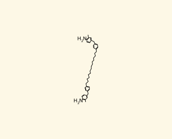 Cc1cc(Cc2ccc(CCCCCCCCCCCCCCCCc3ccc(Cc4ccc(N)c(C)c4)cc3)cc2)ccc1N